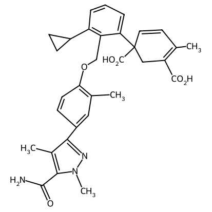 CC1=C(C(=O)O)CC(C(=O)O)(c2cccc(C3CC3)c2COc2ccc(-c3nn(C)c(C(N)=O)c3C)cc2C)C=C1